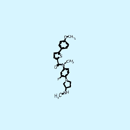 CNC1CCN(c2ccc(N(C)C(=O)c3ccc(-c4ccc(OC)cc4)s3)cc2F)C1